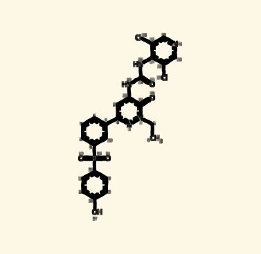 CCn1nc(-c2cccc(S(=O)(=O)c3ccc(O)cc3)c2)cc(NC(=O)Nc2c(Cl)cncc2Cl)c1=O